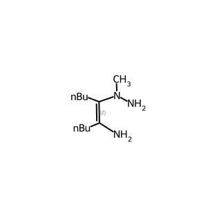 CCCC/C(N)=C(\CCCC)N(C)N